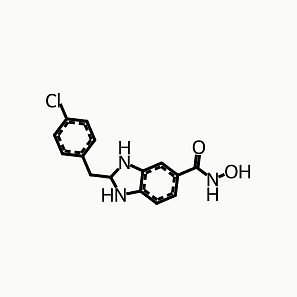 O=C(NO)c1ccc2c(c1)NC(Cc1ccc(Cl)cc1)N2